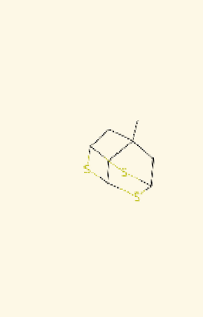 CC12CC3SC(C1)SC(C2)S3